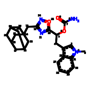 Cn1cc(CC(OC(N)=O)c2nc(CC34CC5CC(CC(C5)C3)C4)no2)c2ccccc21